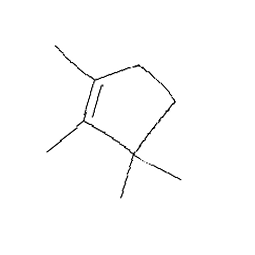 CC1=C(C)C(C)(C)CC1